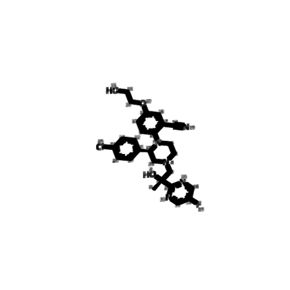 C[C@@](O)(CN1CCN(c2ccc(OCCO)cc2C#N)[C@H](c2ccc(Cl)cc2)C1)c1ncc(F)cn1